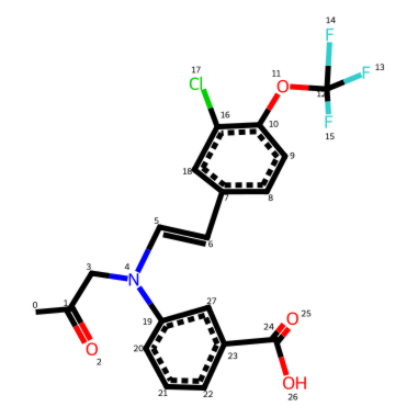 CC(=O)CN(C=Cc1ccc(OC(F)(F)F)c(Cl)c1)c1cccc(C(=O)O)c1